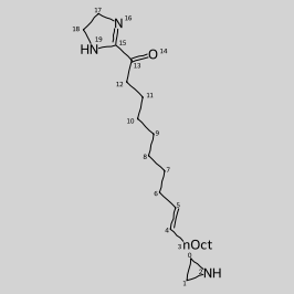 C1CN1.CCCCCCCCC=CCCCCCCCC(=O)C1=NCCN1